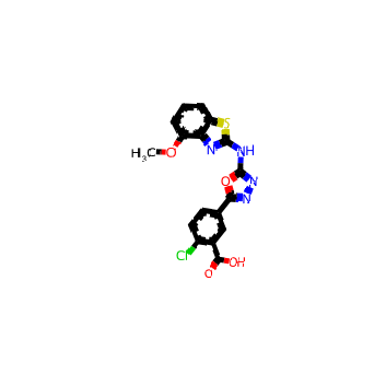 COc1cccc2sc(Nc3nnc(-c4ccc(Cl)c(C(=O)O)c4)o3)nc12